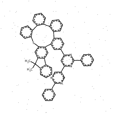 CC1(C)c2ccccc2-c2cc3c(cc21)Sc1ccccc1-c1ccccc1-c1ccccc1-c1ccc(-c2cc(-c4cnc(-c5ccccc5)nc4)nc(-c4ccccc4)n2)cc1-3